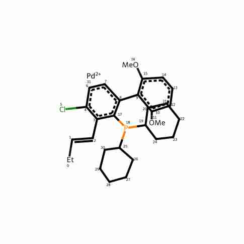 CCC=Cc1c(Cl)ccc(-c2c(OC)cccc2OC)c1P(C1CCCCC1)C1CCCCC1.[Pd+2]